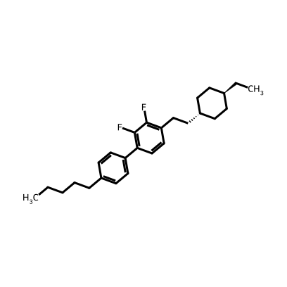 CCCCCc1ccc(-c2ccc(CC[C@H]3CC[C@H](CC)CC3)c(F)c2F)cc1